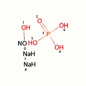 O=NO.O=P(O)(O)O.[NaH].[NaH]